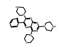 c1ccc(-c2nc3c(N4CCOCC4)nc(N4CCNCC4)nc3nc2N2CCNCC2)cc1